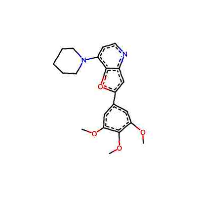 COc1cc(-c2cc3nccc(N4CCCCC4)c3o2)cc(OC)c1OC